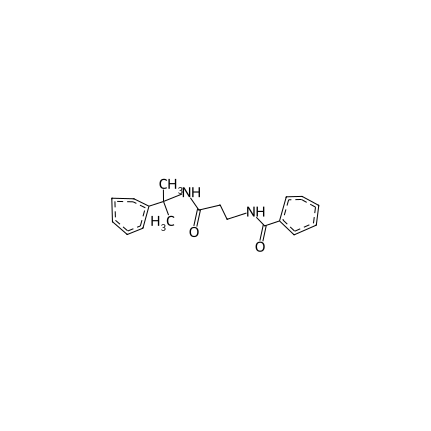 CC(C)(NC(=O)CCNC(=O)c1ccccc1)c1ccccc1